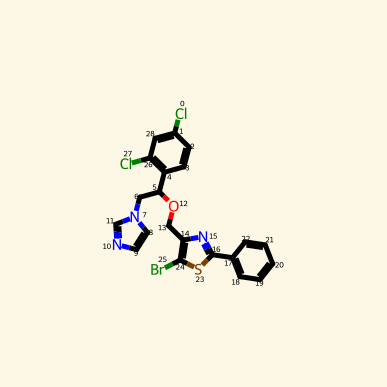 Clc1ccc(C(Cn2ccnc2)OCc2nc(-c3ccccc3)sc2Br)c(Cl)c1